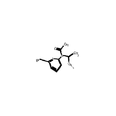 CC(C)N(C(=O)O)c1cccc(Br)n1